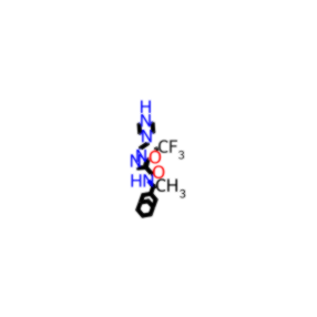 CC(NC(=O)c1cnn(CCN2CCNCC2)c1OCC(F)(F)F)C1CC2CCCC(C2)C1